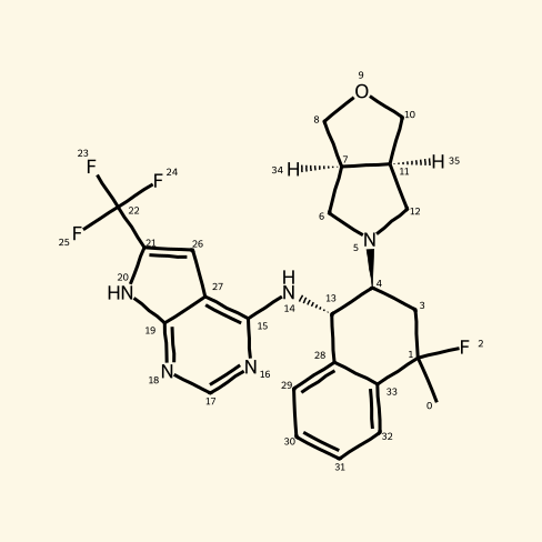 CC1(F)C[C@H](N2C[C@H]3COC[C@H]3C2)[C@@H](Nc2ncnc3[nH]c(C(F)(F)F)cc23)c2ccccc21